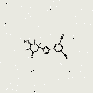 CN1C(=N)N[C@](C)(c2cc(-c3cc(C#N)cc(C#N)c3)cs2)CC1=O